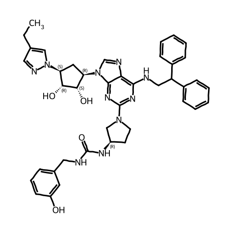 CCc1cnn([C@H]2C[C@@H](n3cnc4c(NCC(c5ccccc5)c5ccccc5)nc(N5CC[C@@H](NC(=O)NCc6cccc(O)c6)C5)nc43)[C@H](O)[C@@H]2O)c1